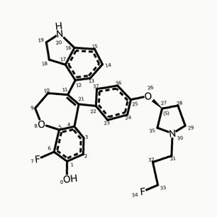 Oc1ccc2c(c1F)OCCC(c1cccc3c1CCN3)=C2c1ccc(O[C@H]2CCN(CCCF)C2)cc1